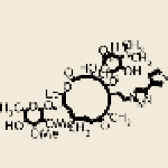 CC[C@H]1OC(=O)C[C@@H](O)[C@H](C)[C@@H](O[C@@H]2O[C@@H]3O[C@H]3C(N(C)C)C2O)[C@@H](CCn2cc(-c3ccsc3)nn2)C[C@@H](C)C(=O)/C=C/C(C)=C/[C@@H]1CO[C@@H]1OC(C)[C@@H](O)[C@H](OC)C1OC